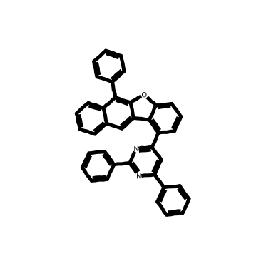 c1ccc(-c2cc(-c3cccc4oc5c(-c6ccccc6)c6ccccc6cc5c34)nc(-c3ccccc3)n2)cc1